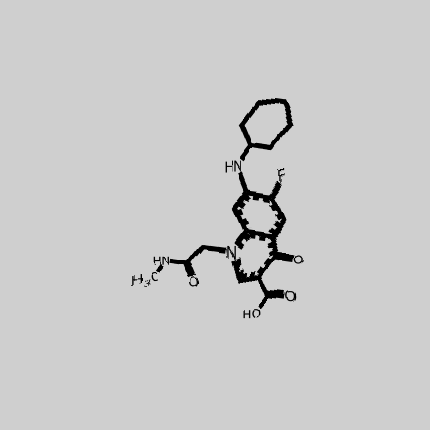 CNC(=O)Cn1cc(C(=O)O)c(=O)c2cc(F)c(NC3CCCCC3)cc21